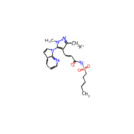 CCCCCS(=O)(=O)[N-]C(=O)/C=C/c1c(C)nn(C)c1-n1ccc2cccnc21.[K+]